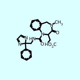 CN1Cc2ccccc2N(C(=O)NCC2(c3ccccc3)N=CC=N2)C(CC(=O)O)C1=O